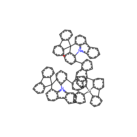 c1ccc([Si]2(c3ccccc3)c3ccccc3-c3cccc(-c4c5cccc(-c6cccc7c6-n6c8ccccc8c8cccc(c86)C76c7ccccc7-c7ccccc76)c5cc5c(-c6cccc7c6-n6c8ccccc8c8cccc(c86)C76c7ccccc7-c7ccccc76)cccc45)c32)cc1